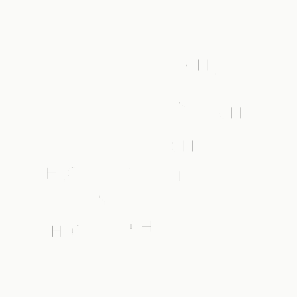 CCC(C1C=CC=CC1[Si](C)(C)C)[Si](C)(C)C